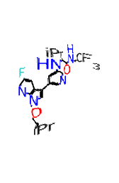 CC(C)CCOCn1cc(-c2cncc(NC(C(=O)NCC(F)(F)F)C(C)C)c2)c2cc(F)cnc21